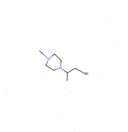 [CH2]C(C)CC(C)N1CCN(C)CC1